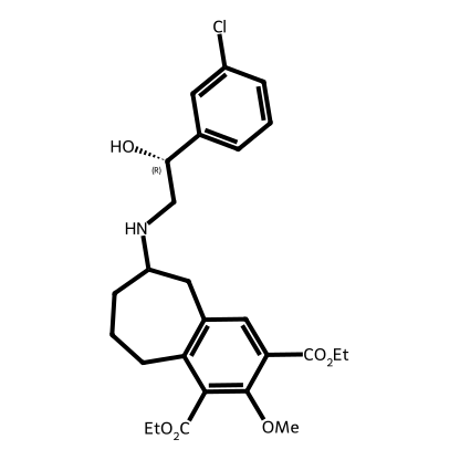 CCOC(=O)c1cc2c(c(C(=O)OCC)c1OC)CCCC(NC[C@H](O)c1cccc(Cl)c1)C2